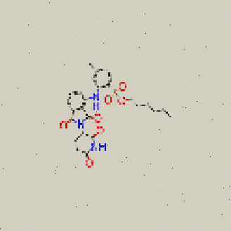 CCCCCCOS(=O)(=O)c1ccc(C)cc1Nc1cccc2c1C(=O)N(C1CCC(=O)NC1=O)C2=O